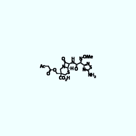 CON=C(C(=O)NC1C(=O)N2CC(COC(=O)CC(C)=O)(C(=O)O)CS[C@H]12)c1nsc(N)n1